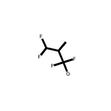 CC(C(F)F)C([O])(F)F